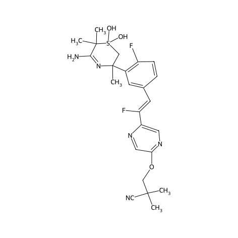 CC(C)(C#N)COc1cnc(C(F)=Cc2ccc(F)c(C3(C)CS(O)(O)C(C)(C)C(N)=N3)c2)cn1